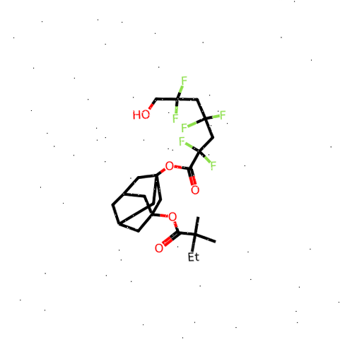 CCC(C)(C)C(=O)OC12CC3CC(C1)CC(OC(=O)C(F)(F)CC(F)(F)CC(F)(F)CO)(C3)C2